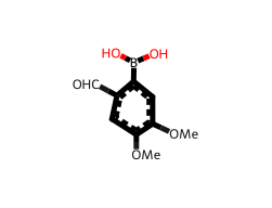 COc1cc(C=O)c(B(O)O)cc1OC